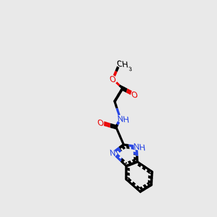 COC(=O)CNC(=O)c1nc2ccccc2[nH]1